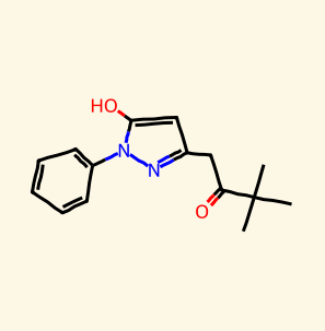 CC(C)(C)C(=O)Cc1cc(O)n(-c2ccccc2)n1